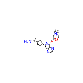 CC(=O)N1CCO[C@H](COc2nc(-c3ccc(C(C)(C)CN)cc3)cc3nccnc23)C1